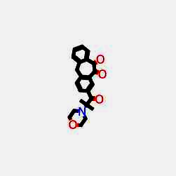 CC(C)(C(=O)c1ccc2c(c1)C(=O)C(=O)c1ccccc1C2)N1CCOCC1